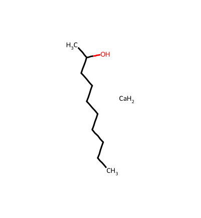 CCCCCCCCC(C)O.[CaH2]